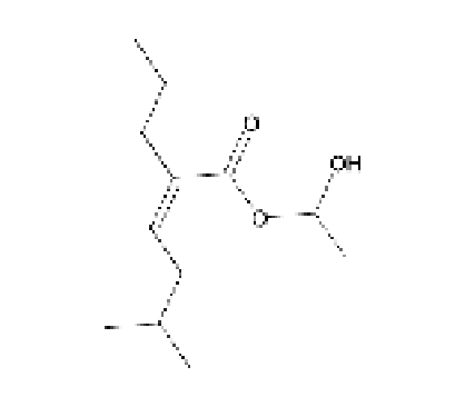 CCCC(=CCC(C)C)C(=O)OC(C)O